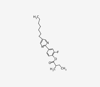 CCCCCCCc1cnc(-c2ccc(OC(=O)C(C)CC)c(F)c2)nc1